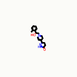 Cc1ccccc1C(O)CN1CC=C(C2=NNC(=O)CC2)CC1